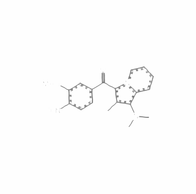 COc1cc(C(=O)c2c(C)c(N(C)C)c3ccccn23)ccc1[N+](=O)[O-]